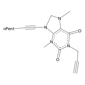 C#CCn1c(=O)c2c(n(C)c1=O)N(C#CCCCCC)CN2C